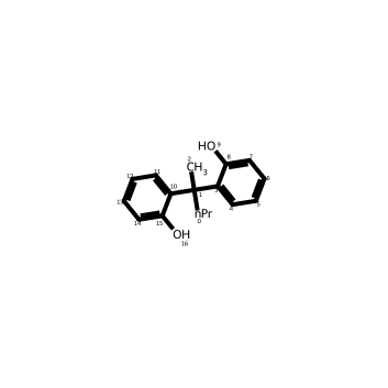 CCCC(C)(c1ccccc1O)c1ccccc1O